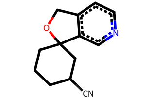 N#CC1CCCC2(C1)OCc1ccncc12